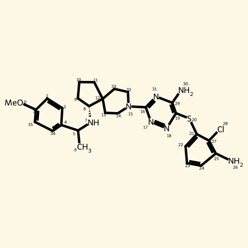 COc1ccc(C(C)N[C@@H]2CCCC23CCN(c2nnc(Sc4cccc(N)c4Cl)c(N)n2)CC3)cc1